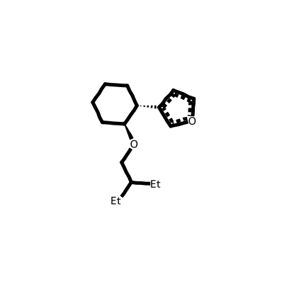 CCC(CC)CO[C@H]1CCCC[C@@H]1c1ccoc1